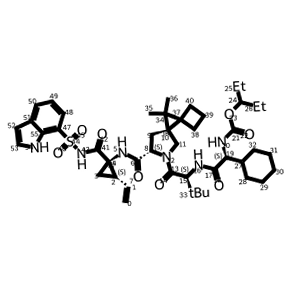 C=C[C@@H]1C[C@]1(NC(=O)[C@@H]1C[C@@]2(CN1C(=O)[C@@H](NC(=O)[C@@H](NC(=O)OC(CC)CC)C1CCCCC1)C(C)(C)C)C(C)(C)C21CCC1)C(=O)NS(=O)(=O)c1cccc2cc[nH]c12